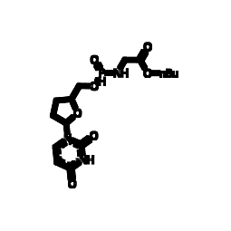 CCCCOC(=O)CN[PH](=O)OCC1CCC(n2ccc(=O)[nH]c2=O)O1